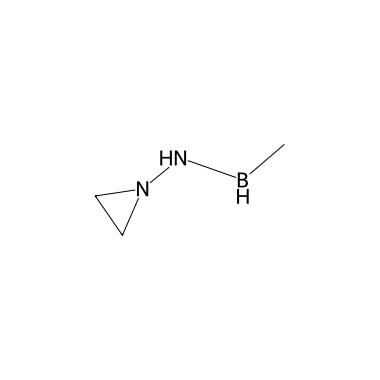 CBNN1CC1